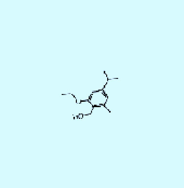 CCOc1cc(C(C)C)cc(C)c1CO